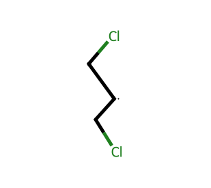 ClC[CH]CCl